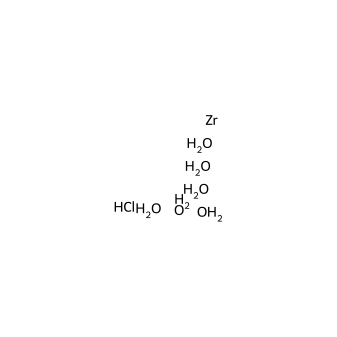 Cl.O.O.O.O.O.O.[Zr]